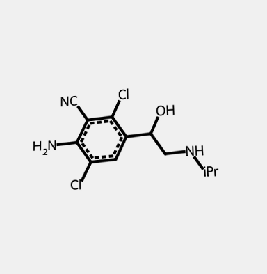 CC(C)NCC(O)c1cc(Cl)c(N)c(C#N)c1Cl